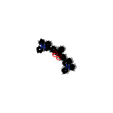 C1=CCCC(N(c2ccccc2)c2ccc(-c3ccc4c(c3)oc3c5oc6cc(C7=CCC(N(C8=CC=CCC8)c8ccccc8)c8ccccc87)ccc6c5c5ccccc5c43)c3ccccc23)=C1